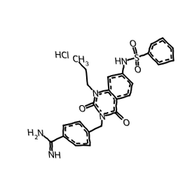 CCCn1c(=O)n(Cc2ccc(C(=N)N)cc2)c(=O)c2ccc(NS(=O)(=O)c3ccccc3)cc21.Cl